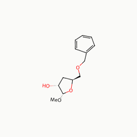 CO[C@H]1O[C@H](COCc2ccccc2)C[C@H]1O